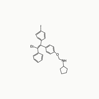 CC/C(=C(\c1ccc(I)cc1)c1ccc(OCNC2CCCC2)cc1)c1ccccc1